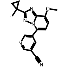 [CH2]C1(c2nc3c(OC)ccc(-c4cncc(C#N)c4)n3n2)CC1